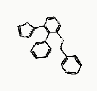 [c]1ccc(SCc2ccccc2)c(-c2ccccc2)c1-c1ccco1